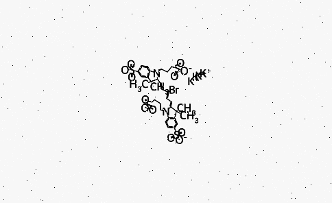 CC1(C)/C(=C/C=C(Br)/C=C/C2N(CCCS(=O)(=O)[O-])c3ccc(S(=O)(=O)[O-])cc3C2(C)C)N(CCCS(=O)(=O)[O-])c2ccc(S(=O)(=O)[O-])cc21.[K+].[K+].[K+].[K+]